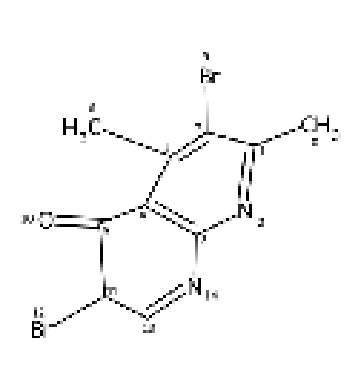 Cc1nc2c(c(C)c1Br)C(=O)C(Br)C=N2